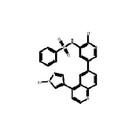 CCn1cc(-c2ccnc3ccc(-c4cnc(Cl)c(NS(=O)(=O)c5ccccc5)c4)cc23)cn1